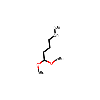 CCCCOC(CC[CH2][Sn][CH2]CCC)OCCCC